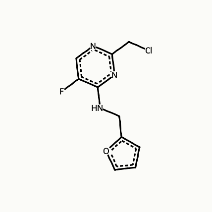 Fc1cnc(CCl)nc1NCc1ccco1